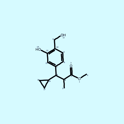 COC(=O)C(C)C(c1ccc(CO)c(O)c1)C1CC1